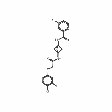 CCc1ccnc(C(=O)NC23CC(NC(=O)COc4ccc(Cl)c(F)c4)(C2)C3)c1